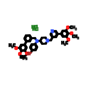 COc1cc(-c2cncc(CN3CCC(N(Cc4cccc(-c5cc(OC)c(OC)c(OC)c5)c4)c4ccc(Br)cc4)CC3)c2)cc(OC)c1OC.Cl.Cl